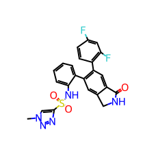 Cn1cc(S(=O)(=O)Nc2ccccc2-c2cc3c(cc2-c2ccc(F)cc2F)C(=O)NC3)nn1